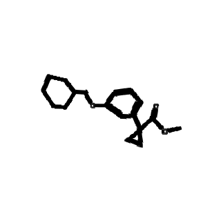 COC(=O)C1(c2cccc(OCC3CCCCC3)c2)CC1